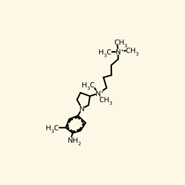 Cc1cc(N2CCC([N+](C)(C)CCCCC[N+](C)(C)C)C2)ccc1N